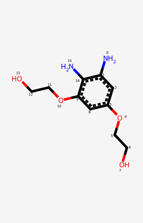 Nc1cc(OCCO)cc(OCCO)c1N